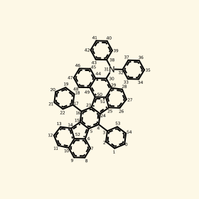 c1ccc(-c2c3c4cccc5cccc(c3c(-c3ccccc3)c3c2c2cccc6c(N(c7ccccc7)c7ccccc7)c7ccccc7c3c62)c54)cc1